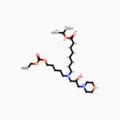 CCCCCCCCCCCOC(=O)OCCCCCN(CCCCCCCC(=O)OC(CCCCCCCC)CCCCCCCC)CC(O)CN1CCOCC1